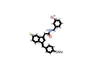 CSc1ccc(/C=C2\C=C(CC(=O)NCc3cccc(Br)c3)c3cc(F)ccc32)cc1